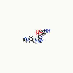 CCN(Cc1ccc(-n2cccn2)cc1)c1ncnc2c1ccn2C[C@@]1(O)CCNC[C@@H]1O